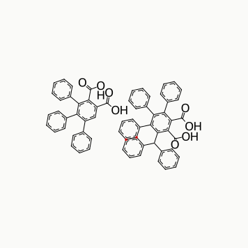 O=C(O)c1c(C(=O)O)c(C(c2ccccc2)c2ccccc2)c(-c2ccccc2)c(-c2ccccc2)c1-c1ccccc1.O=C(O)c1cc(-c2ccccc2)c(-c2ccccc2)c(-c2ccccc2)c1C(=O)O